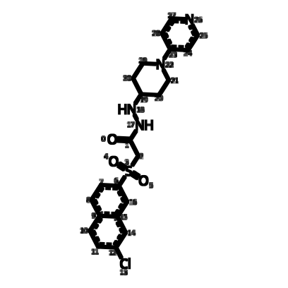 O=C(CS(=O)(=O)c1ccc2ccc(Cl)cc2c1)NNC1CCN(c2ccncc2)CC1